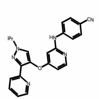 CC(C)n1cc(Oc2ccnc(Nc3ccc(C#N)cc3)c2)c(-c2ccccn2)n1